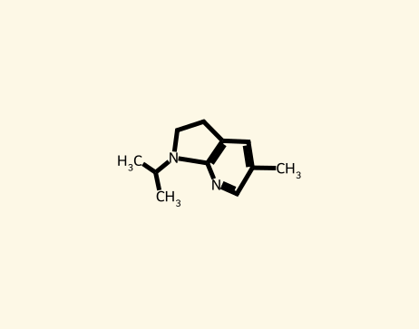 Cc1cnc2c(c1)CCN2C(C)C